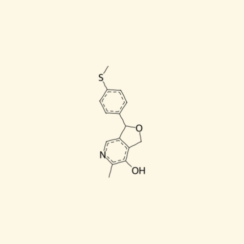 CSc1ccc(C2OCc3c2cnc(C)c3O)cc1